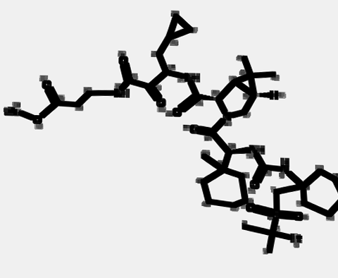 CCC(C)(C)S(=O)(=O)CC1(NC(=O)N[C@H](C(=O)N2C[C@H]3C([C@H]2C(=O)NC(CC2CC2)C(=O)C(=O)NCCC(=O)OC(C)(C)C)C3(C)C)C2(C)CCCCC2)CCCCC1